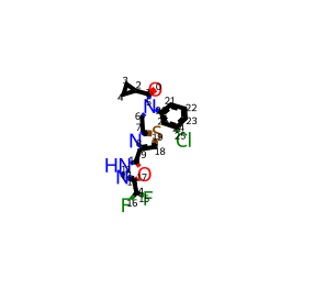 O=C(C1CC1)N(Cc1nc(C2NN=C(C(F)F)O2)cs1)c1cccc(Cl)c1